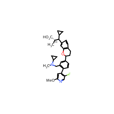 COc1cc(-c2ccc(C3CCc4ccc(C(C5CC5)[C@H](C)C(=O)O)cc4O3)cc2CN(C)C2CC2)c(F)cn1